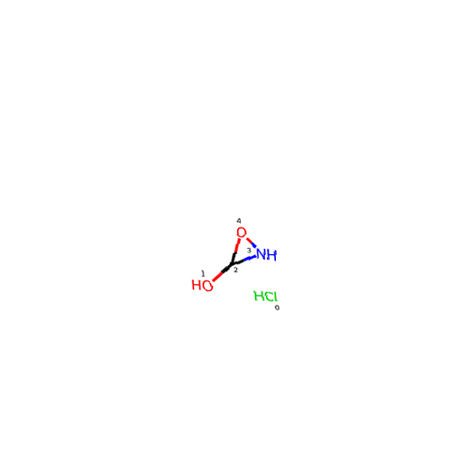 Cl.OC1NO1